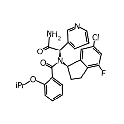 CC(C)Oc1ccccc1C(=O)N([C@@H]1CCc2c(F)cc(Cl)cc21)[C@@H](C(N)=O)c1cccnc1